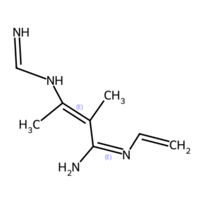 C=C/N=C(N)\C(C)=C(/C)NC=N